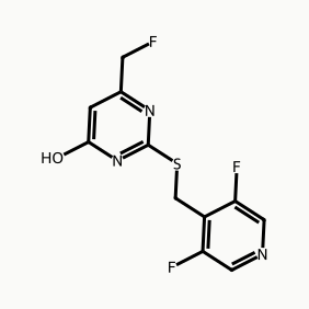 Oc1cc(CF)nc(SCc2c(F)cncc2F)n1